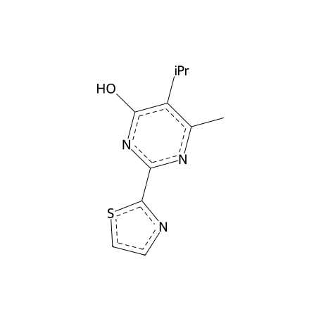 Cc1nc(-c2nccs2)nc(O)c1C(C)C